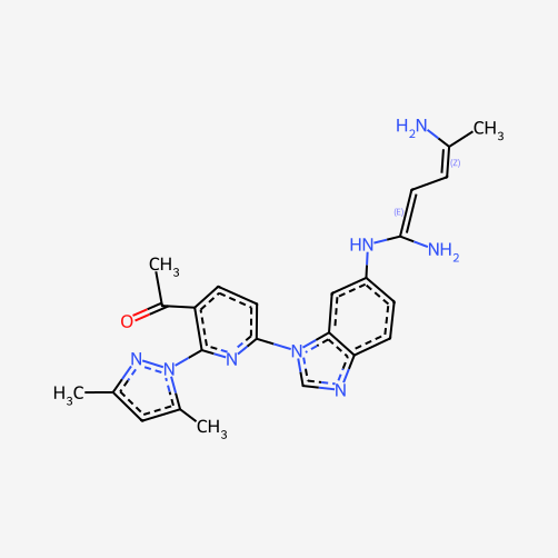 CC(=O)c1ccc(-n2cnc3ccc(N/C(N)=C/C=C(/C)N)cc32)nc1-n1nc(C)cc1C